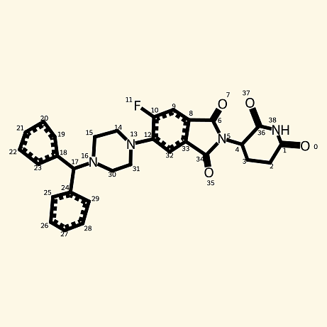 O=C1CCC(N2C(=O)c3cc(F)c(N4CCN(C(c5ccccc5)c5ccccc5)CC4)cc3C2=O)C(=O)N1